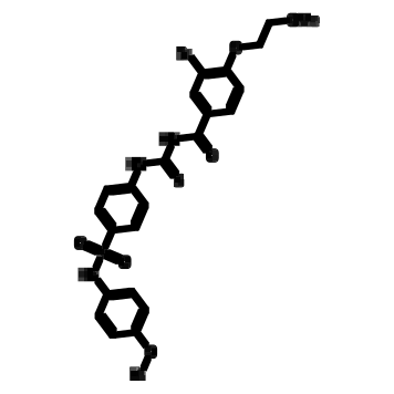 CCOc1ccc(NS(=O)(=O)c2ccc(NC(=S)NC(=O)c3ccc(OCCOC)c(Br)c3)cc2)cc1